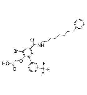 O=C(O)COc1c(Br)cc(C(=O)NCCCCCCCCc2ccccc2)cc1-c1cccc(C(F)(F)F)c1